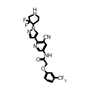 N#Cc1cc(NC(=O)COc2cccc(C(F)(F)F)c2)cnc1-c1cnn(C2CCNCC2(F)F)c1